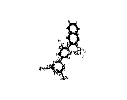 Cc1cc2ccccc2cc1-c1c(F)cc(-c2nc(C(C)C)nc(C(C)C)n2)c[n+]1C